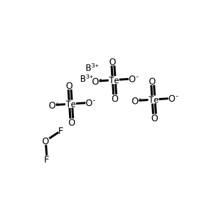 FOF.O=[Te](=O)([O-])[O-].O=[Te](=O)([O-])[O-].O=[Te](=O)([O-])[O-].[B+3].[B+3]